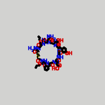 C=CCOCC1NC(=O)CSCC(C(N)=O)NC(=O)C(COCC=C)NC(=O)C(CC(N)=O)NC(=O)C(CC(=O)O)NC(=O)C(Cc2ccc(O)cc2)NC(=O)CNC(=O)C(CCC(=O)O)NC(=O)C(Cc2ccccc2)NC1=O